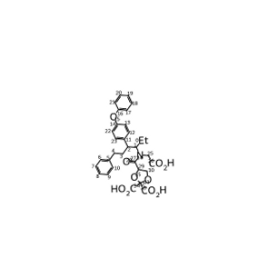 CCC(C(CCc1ccccc1)c1ccc(Oc2ccccc2)cc1)N(CC(=O)O)C(=O)C1COC(C(=O)O)(C(=O)O)O1